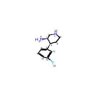 N[C@H]1CNCC[C@H]1c1cccc(F)c1